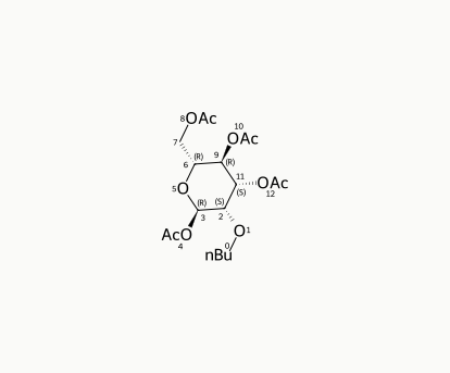 CCCCO[C@@H]1[C@@H](OC(C)=O)O[C@H](COC(C)=O)[C@@H](OC(C)=O)[C@@H]1OC(C)=O